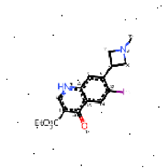 CCOC(=O)c1c[nH]c2cc(C3CN(C)C3)c(I)cc2c1=O